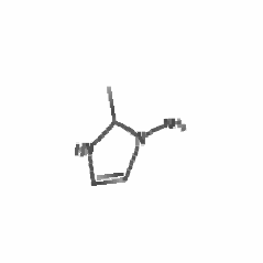 CC1NC=CN1N